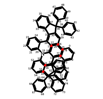 c1ccc(-c2cccc3cccc(-c4ccccc4N(c4ccccc4-c4cccc5c4-c4ccccc4C5(c4ccccc4)c4ccccc4)c4cccc5c4-c4ccccc4C5(c4ccccc4)c4ccccc4)c23)cc1